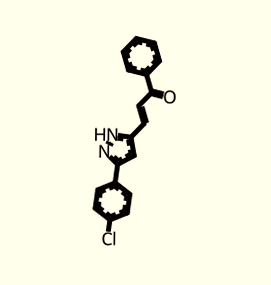 O=C(/C=C/c1cc(-c2ccc(Cl)cc2)n[nH]1)c1ccccc1